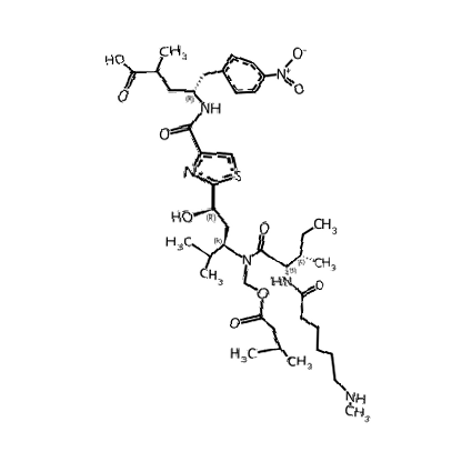 CC[C@H](C)[C@H](NC(=O)CCCCCNC)C(=O)N(COC(=O)CC(C)C)[C@H](C[C@@H](O)c1nc(C(=O)N[C@@H](Cc2ccc([N+](=O)[O-])cc2)CC(C)C(=O)O)cs1)C(C)C